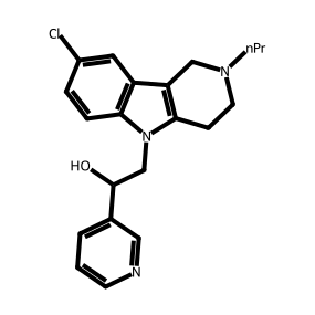 CCCN1CCc2c(c3cc(Cl)ccc3n2CC(O)c2cccnc2)C1